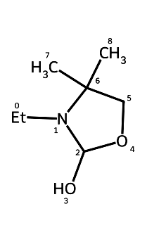 CCN1C(O)OCC1(C)C